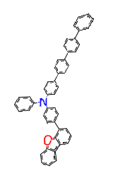 c1ccc(-c2ccc(-c3ccc(-c4ccc(N(c5ccccc5)c5ccc(-c6cccc7c6oc6ccccc67)cc5)cc4)cc3)cc2)cc1